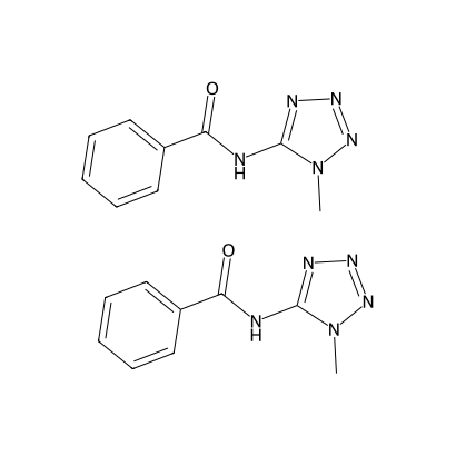 Cn1nnnc1NC(=O)c1ccccc1.Cn1nnnc1NC(=O)c1ccccc1